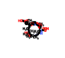 CO[C@@H]1C[C@H](C[C@@H](C)[C@@H]2CC[C@H](C)/C=C(\C)[C@@H](O)[C@@H](OC)C(=O)[C@H](C)C[C@H](C)/C=C/C=C/C=C(\C)[C@H](NCCS(=O)(=O)O)C[C@@H]3CC[C@@H](C)[C@@](O)(O3)C(O)C(=O)N3CCCC[C@H]3C(=O)O2)CC[C@H]1OCCO